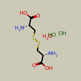 Cl.Cl.N[C@@H](CSSC[C@H](N)C(=O)O)C(=O)O.O